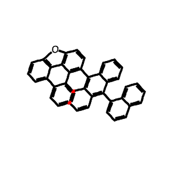 c1ccc2c(-c3c4ccccc4c(-c4ccc5oc6cccc7c8ccccc8c4c5c67)c4ccccc34)cccc2c1